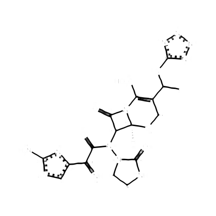 CC(Sc1nnn[nH]1)C1=C(C(=O)O)N2C(=O)C(N(C(=O)C(=N)c3csc(N)n3)N3CCNC3=O)[C@@H]2SC1